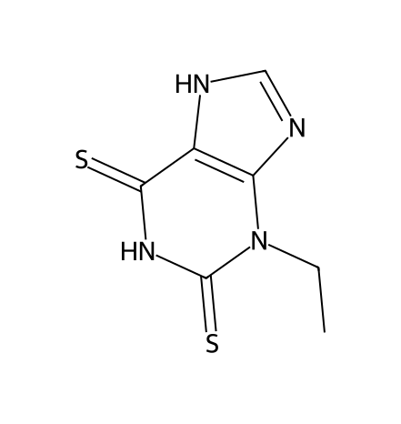 CCn1c(=S)[nH]c(=S)c2[nH]cnc21